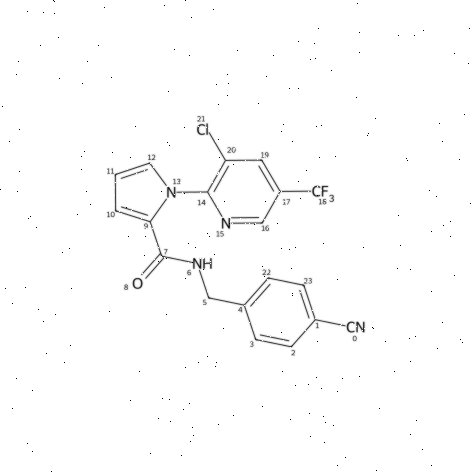 N#Cc1ccc(CNC(=O)c2cccn2-c2ncc(C(F)(F)F)cc2Cl)cc1